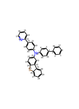 c1ccc(-c2ccc(N(c3ccc(-c4ccccn4)cc3)c3ccc4sc5ccccc5c4c3)cc2)cc1